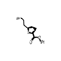 CC(C)OC(=O)c1ccc(CCBr)s1